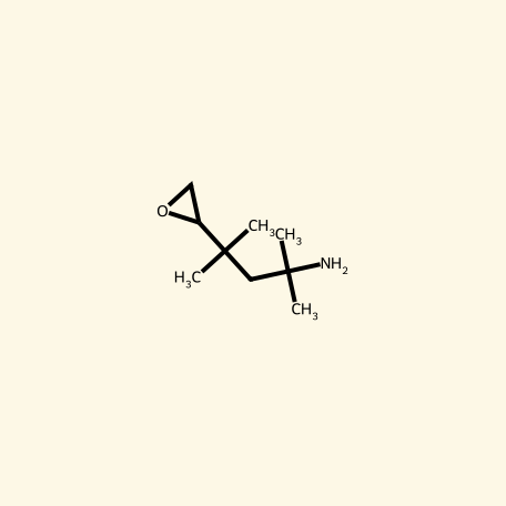 CC(C)(N)CC(C)(C)C1CO1